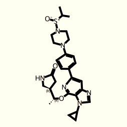 CC(C)[S+]([O-])N1CCN(c2ccc(-c3cc4ncn(C5CC5)c4c(O[C@H](C)[C@H]4CNC(=O)C4)n3)cc2)CC1